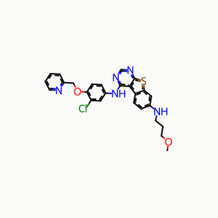 COCCCNc1ccc2c(c1)sc1ncnc(Nc3ccc(OCc4ccccn4)c(Cl)c3)c12